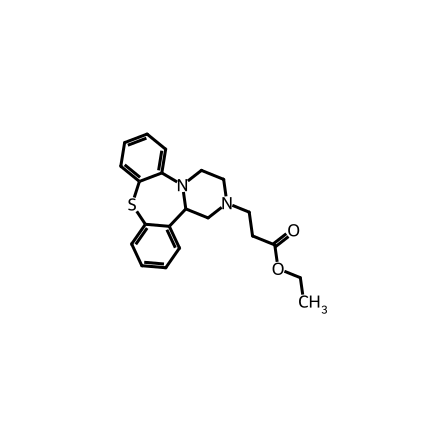 CCOC(=O)CCN1CCN2c3ccccc3Sc3ccccc3C2C1